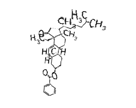 CC[C@@]12C(=O)C[C@H]([C@H](C)CCCC(C)C)[C@@]1(C)CC[C@H]1C2=CC[C@H]2C[C@H](OC(=O)c3ccccc3)CC[C@@]21C